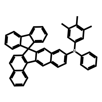 Cc1cc(N(c2ccccc2)c2ccc3cc4c(cc3c2)C2(c3ccccc3-c3ccccc32)c2ccc3ccccc3c2-4)cc(C)c1C